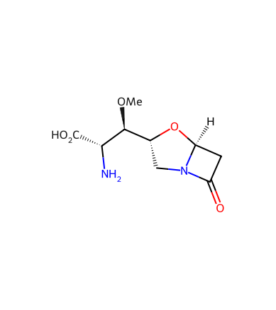 CO[C@H]([C@H](N)C(=O)O)[C@H]1CN2C(=O)C[C@@H]2O1